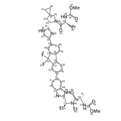 CC[C@@H](c1nc2ccc(-c3ccc4c(c3)C(F)(F)c3cc(-c5c[nH]c([C@@H]6CC7(CC7)CN6C(=O)[C@@H](NC(=O)OC)C(C)C)n5)ccc3-4)cc2[nH]1)N(CC)C(=O)[C@H](C)NC(=O)OC